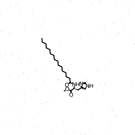 CCCCCCCCCCCCCCCC(=O)N[C@@H](Cc1c[nH]cn1)C(=O)OC